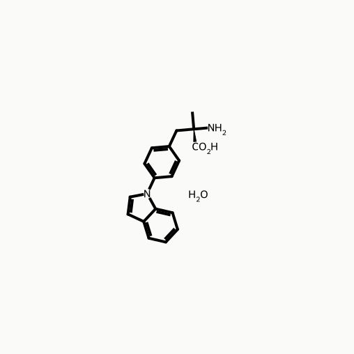 C[C@](N)(Cc1ccc(-n2ccc3ccccc32)cc1)C(=O)O.O